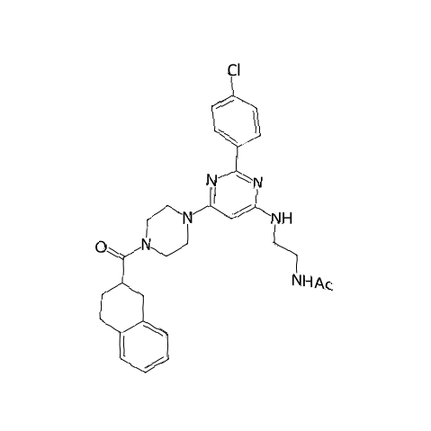 CC(=O)NCCNc1cc(N2CCN(C(=O)C3CCc4ccccc4C3)CC2)nc(-c2ccc(Cl)cc2)n1